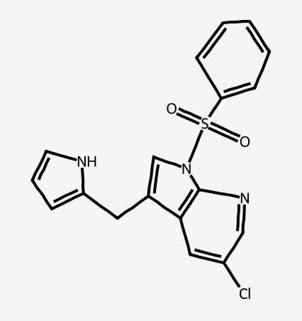 O=S(=O)(c1ccccc1)n1cc(Cc2ccc[nH]2)c2cc(Cl)cnc21